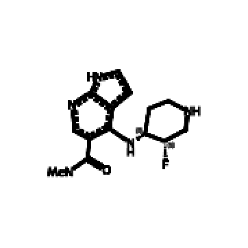 CNC(=O)c1cnc2[nH]ccc2c1N[C@@H]1CCNC[C@@H]1F